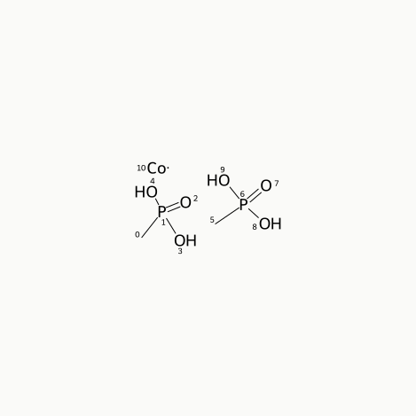 CP(=O)(O)O.CP(=O)(O)O.[Co]